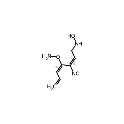 C=C/C=C(ON)\C(=C/CNO)N=O